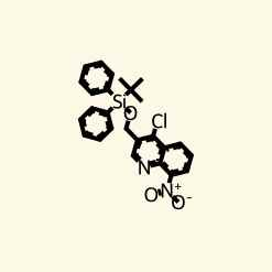 CC(C)(C)[Si](OCc1cnc2c([N+](=O)[O-])cccc2c1Cl)(c1ccccc1)c1ccccc1